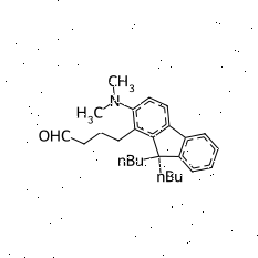 CCCCC1(CCCC)c2ccccc2-c2ccc(N(C)C)c(CCCC=O)c21